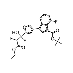 CCOC(=O)C(F)C(O)(F)c1cc(-c2cn(C(=O)OC(C)(C)C)c3c(F)cccc23)co1